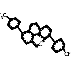 FC(F)(F)c1ccc(-c2ccc3ccc4c(-c5ccc(C(F)(F)F)cc5)ccc5ccc2c3c54)cc1